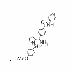 COc1ccc([S+]([O-])N2CCCC2C(N)c2ccc(C(=O)Nc3ccncc3)cc2)cc1